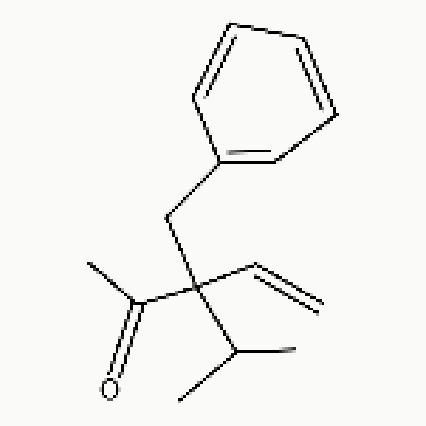 C=CC(Cc1ccccc1)(C(C)=O)C(C)C